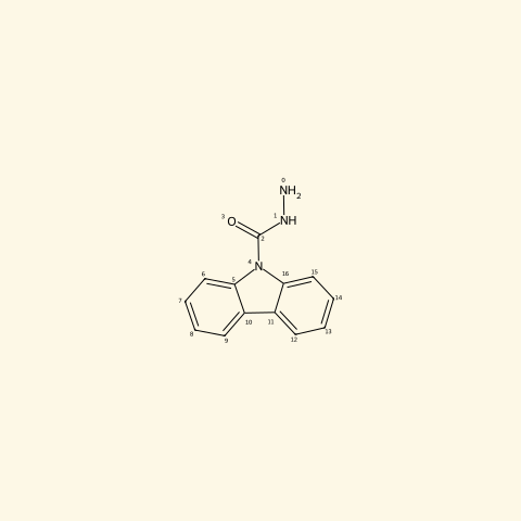 NNC(=O)n1c2ccccc2c2ccccc21